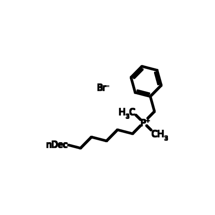 CCCCCCCCCCCCCCC[P+](C)(C)Cc1ccccc1.[Br-]